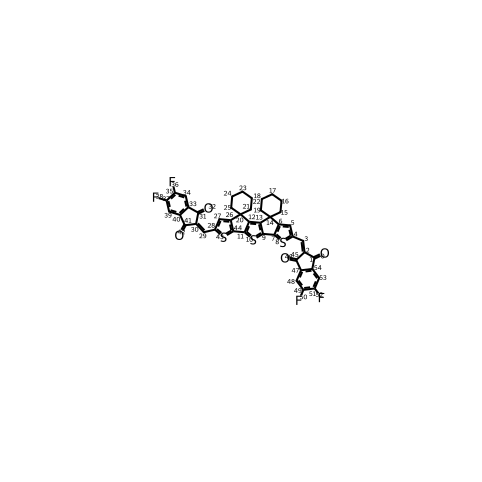 O=C1C(=Cc2cc3c(s2)-c2sc4c(c2C32CCCCC2)C2(CCCCC2)c2cc(C=C3C(=O)c5cc(F)c(F)cc5C3=O)sc2-4)C(=O)c2cc(F)c(F)cc21